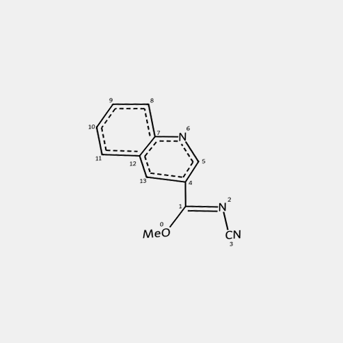 CO/C(=N\C#N)c1cnc2ccccc2c1